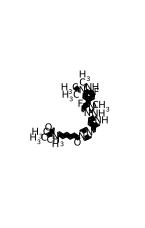 CC(C)N1c2cc(C3=C(F)C=NC(NC4=CC=C(CN5CCN(C(=O)CCCCCNC(C=O)C(C)(C)C)CC5)CN4)N3C)cc(F)c2NC1C